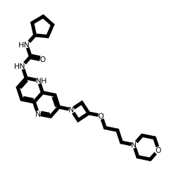 O=C(NC1=CC=C2N=CC(N3CC(OCCCN4CCOCC4)C3)=CC2N1)NC1CCCC1